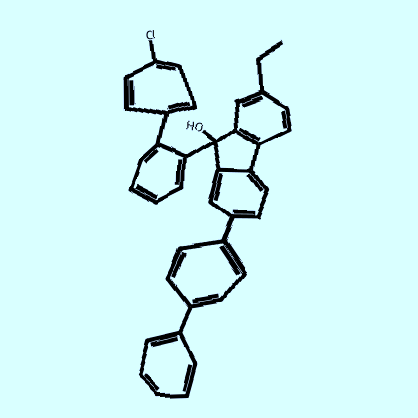 CCc1ccc2c(c1)C(O)(c1ccccc1-c1ccc(Cl)cc1)c1cc(-c3ccc(-c4ccccc4)cc3)ccc1-2